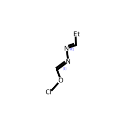 CC/C=N/N=C/OCl